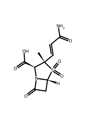 C[C@]1(/C=C/C(N)=O)[C@H](C(=O)O)N2C(=O)C[C@H]2S1(=O)=O